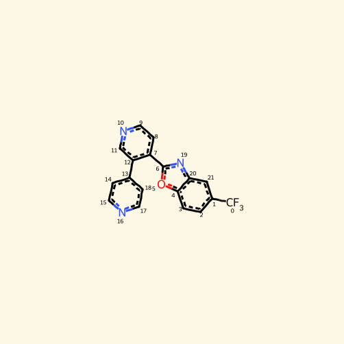 FC(F)(F)c1ccc2oc(-c3ccncc3-c3ccncc3)nc2c1